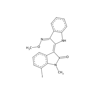 CO/N=C1\C(=C2\C(=O)N(C)c3c(I)cccc32)Nc2ccccc21